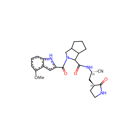 COc1cccc2[nH]c(C(=O)N3CC4CCCC4C3C(=O)N[C@H](C#N)C[C@@H]3CCNC3=O)cc12